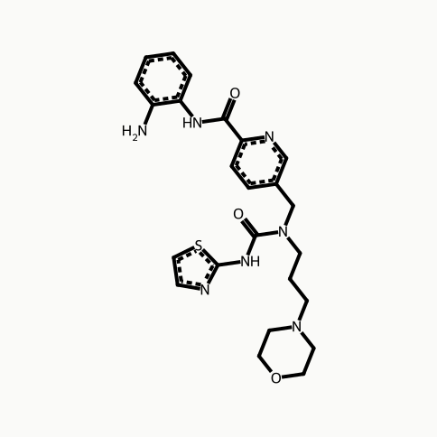 Nc1ccccc1NC(=O)c1ccc(CN(CCCN2CCOCC2)C(=O)Nc2nccs2)cn1